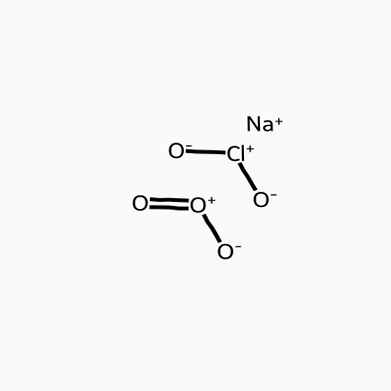 O=[O+][O-].[Na+].[O-][Cl+][O-]